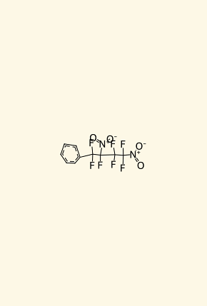 O=[N+]([O-])C(F)(F)C(F)(F)C(F)([N+](=O)[O-])C(F)(F)c1ccccc1